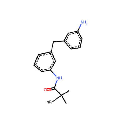 CCCC(C)(C)C(=O)Nc1cccc(Cc2cccc(N)c2)c1